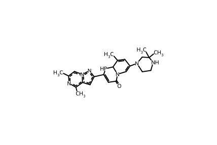 CC1=CC(N2CCNC(C)(C)C2)=CN2C(=O)C=C(c3cc4c(C)nc(C)cn4n3)PC12